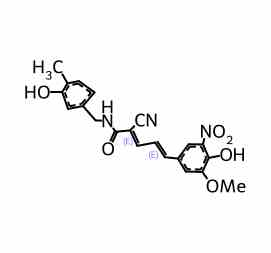 COc1cc(/C=C/C=C(\C#N)C(=O)NCc2ccc(C)c(O)c2)cc([N+](=O)[O-])c1O